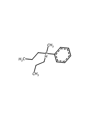 CCC[PH](C)(CCC)c1ccccc1